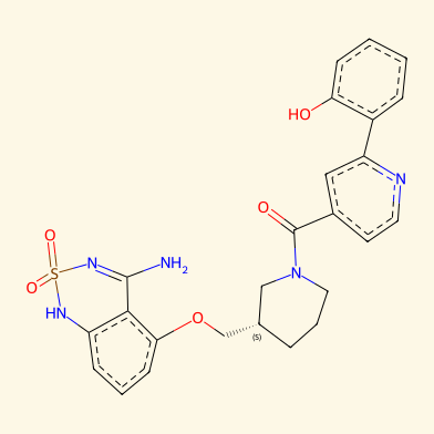 NC1=NS(=O)(=O)Nc2cccc(OC[C@H]3CCCN(C(=O)c4ccnc(-c5ccccc5O)c4)C3)c21